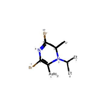 CCC(CC)N1C([AsH2])=C(Br)N=C(Br)C1C